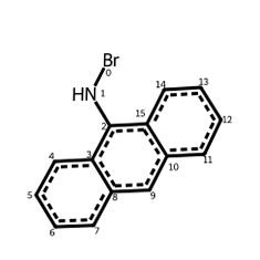 BrNc1c2ccccc2cc2ccccc12